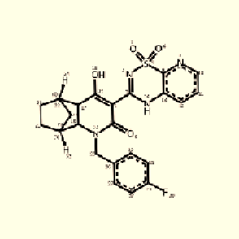 O=C1C(C2=NS(=O)(=O)c3ncccc3N2)=C(O)C2C([C@@H]3CC[C@H]2C3)N1Cc1ccc(F)cc1